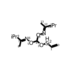 C=C[SiH2]OC(ON=C(C)C(C)C)ON=C(C)C(C)C